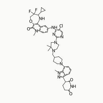 Cn1nc(C2CCC(=O)NC2=O)c2cccc(N3CCC(CN4CCN(c5ncc(Cl)c(Nc6ccc7c(c6)c6c(c(=O)n7C)OCC(F)(F)C(C7CC7)N6)n5)CC4(C)C)CC3)c21